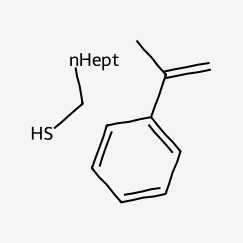 C=C(C)c1ccccc1.CCCCCCCCS